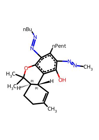 CCCCCc1c(N=NC)c(O)c2c(c1N=NCCCC)OC(C)(C)[C@@H]1CCC(C)=C[C@@H]21